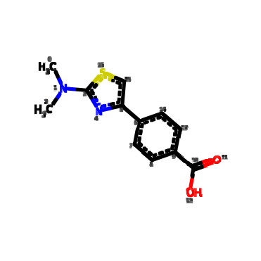 CN(C)c1nc(-c2ccc(C(=O)O)cc2)cs1